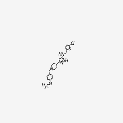 COc1ccc(CN2CCC(c3cc(NCc4ccc(Cl)s4)[nH]n3)CC2)cc1